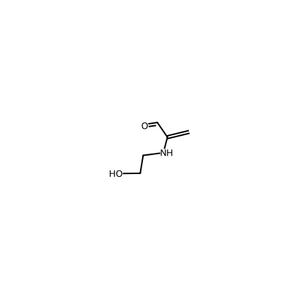 C=C(C=O)NCCO